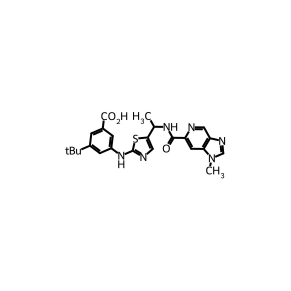 CC(NC(=O)c1cc2c(cn1)ncn2C)c1cnc(Nc2cc(C(=O)O)cc(C(C)(C)C)c2)s1